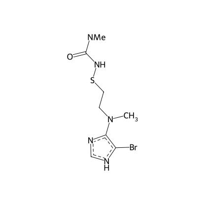 CNC(=O)NSCCN(C)c1nc[nH]c1Br